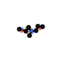 c1ccc(-c2nc(-c3cccc(-c4cccc5c4oc4ccccc45)c3)nc(-c3cccc4sc5c(-c6nc7ccccc7o6)cccc5c34)n2)cc1